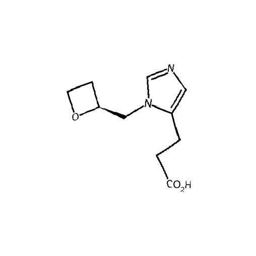 O=C(O)CCc1cncn1C[C@@H]1CCO1